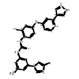 Cc1cn(-c2cc(NC(=O)Nc3ccc(Oc4ccnc(-c5cn[nH]c5)c4)cc3F)cc(C(F)(F)F)c2)cn1